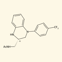 CC(=O)NC[C@H]1CN(c2ccc(C(F)(F)F)cc2)c2ccccc2N1